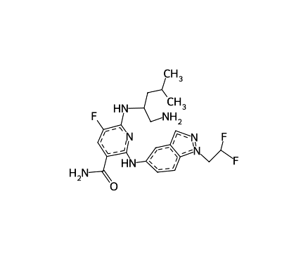 CC(C)CC(CN)Nc1nc(Nc2ccc3c(cnn3CC(F)F)c2)c(C(N)=O)cc1F